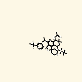 CC(=O)O[C@@H]1c2nc(C(C)C)c3c(c2C(O[Si](C)(C)C(C)(C)C)CC1(C)C)C1(CCOCC1)O[C@@H]3c1ccc(C(F)(F)F)nc1